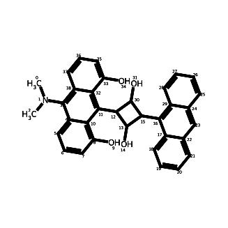 CN(C)c1c2cccc(O)c2c(C2C(O)C(c3c4ccccc4cc4ccccc34)C2O)c2c(O)cccc12